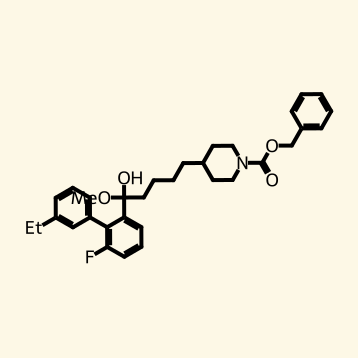 CCc1cccc(-c2c(F)cccc2C(O)(CCCCC2CCN(C(=O)OCc3ccccc3)CC2)OC)c1